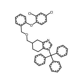 Clc1ccc(Oc2ccccc2COCC2CCc3c(ncn3C(c3ccccc3)(c3ccccc3)c3ccccc3)C2)c(Cl)c1